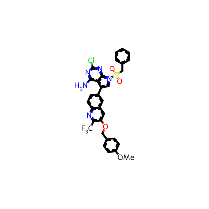 COc1ccc(COc2cc3cc(-c4cn(S(=O)(=O)Cc5ccccc5)c5nc(Cl)nc(N)c45)ccc3nc2C(F)(F)F)cc1